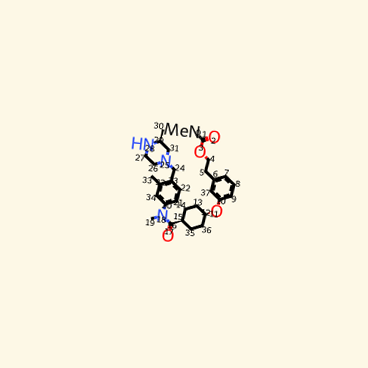 CNC(=O)OCCc1cccc(O[C@H]2CC[C@H](C(=O)N(C)c3ccc(CN4CCN[C@@H](C)C4)c(C)c3)CC2)c1